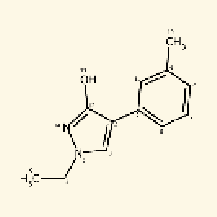 CCn1cc(-c2cccc(C)c2)c(O)n1